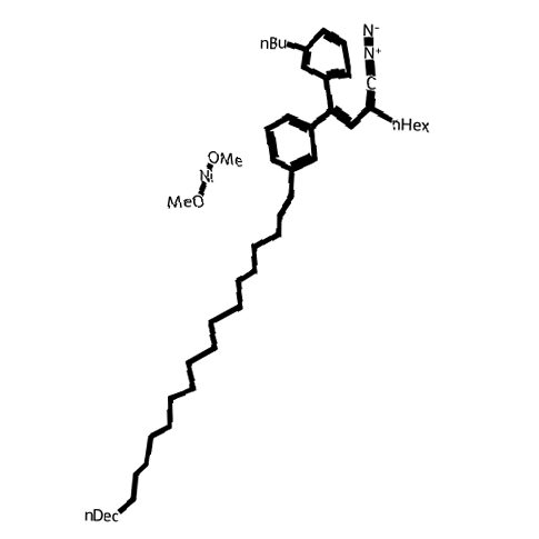 CCCCCCCCCCCCCCCCCCCCCCCCCCCc1cccc(C(=CC(=C=[N+]=[N-])CCCCCC)c2cccc(CCCC)c2)c1.C[O][Ni][O]C